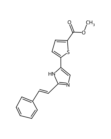 COC(=O)c1ccc(-c2cnc(C=Cc3ccccc3)[nH]2)s1